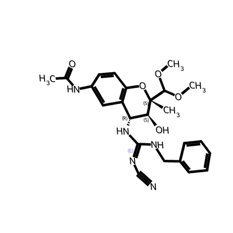 COC(OC)[C@@]1(C)Oc2ccc(NC(C)=O)cc2[C@@H](N/C(=N/C#N)NCc2ccccc2)[C@@H]1O